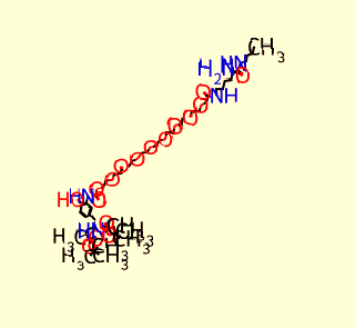 CCCCNC(=O)[C@@H](N)CCCCNC(=O)COCCOCCOCCOCCOCCOCCOCCOCCOC(=O)Nc1cc(C[C@@H](C[C@H](C)C(=O)OC(C)(C)C)NC(=O)OC(C)(C)C)ccc1O